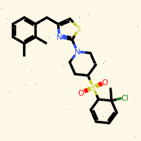 Cc1cccc(Cc2csc(N3CCC(S(=O)(=O)C4C=CC=CC4(C)Cl)CC3)n2)c1C